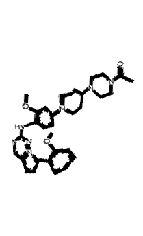 COc1cc(N2CCC(N3CCN(C(C)=O)CC3)CC2)ccc1Nc1ncc2ccc(-c3ccccc3OC)n2n1